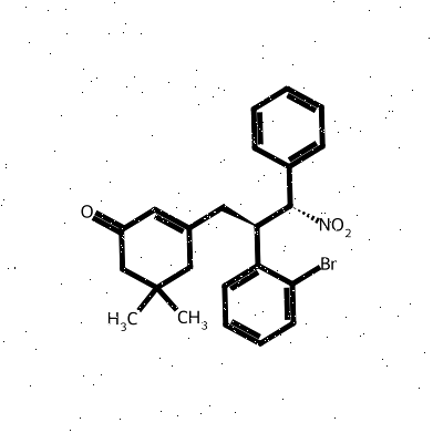 CC1(C)CC(=O)C=C(C[C@H](c2ccccc2Br)[C@H](c2ccccc2)[N+](=O)[O-])C1